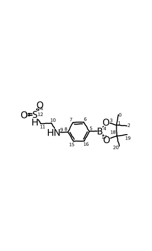 CC1(C)OB(c2ccc(NCC[SH](=O)=O)cc2)OC1(C)C